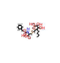 CCCCC1C(CSCC(NC(=O)OCc2ccccc2)C(=O)O)OC(O)C(O)C1O